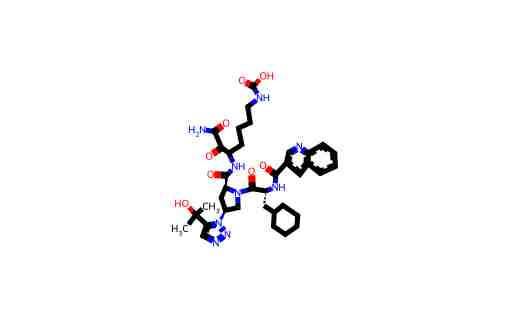 CC(C)(O)c1cnnn1[C@H]1C[C@@H](C(=O)NC(CCCCNC(=O)O)C(=O)C(N)=O)N(C(=O)[C@@H](CC2CCCCC2)NC(=O)c2cnc3ccccc3c2)C1